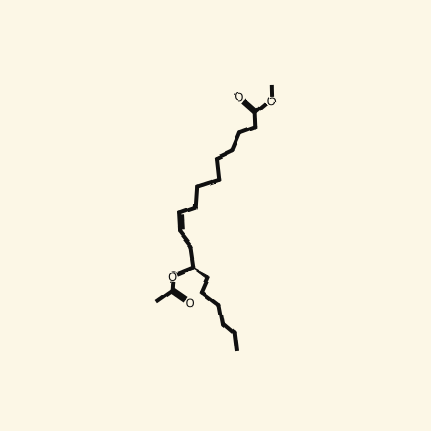 CCCCCC[C@H](C/C=C\CCCCCCCC(=O)OC)OC(C)=O